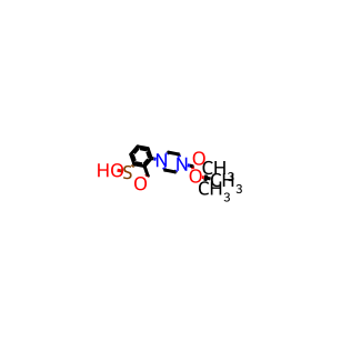 CC(C)(C)OC(=O)N1CCN(c2cccc(SO)c2C=O)CC1